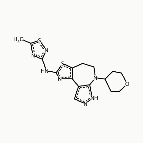 Cc1nc(Nc2nc3c(s2)CCN(C2CCOCC2)c2[nH]ncc2-3)ns1